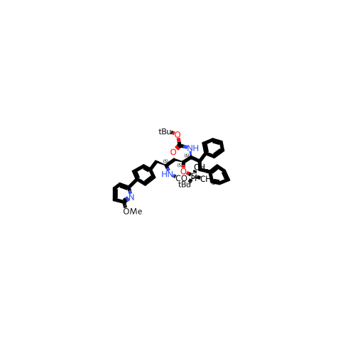 COc1cccc(-c2ccc(C[C@@H](C[C@H](O[Si](C)(C)C(C)(C)C)[C@@H](NC(=O)OC(C)(C)C)C(Cc3ccccc3)c3ccccc3)NC(=O)O)cc2)n1